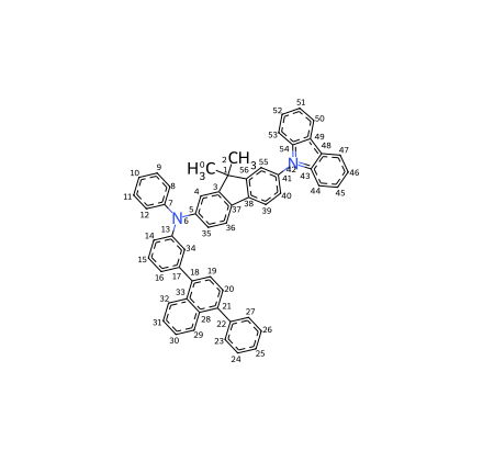 CC1(C)c2cc(N(c3ccccc3)c3cccc(-c4ccc(-c5ccccc5)c5ccccc45)c3)ccc2-c2ccc(-n3c4ccccc4c4ccccc43)cc21